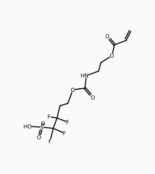 C=CC(=O)OCCNC(=O)OCCC(F)(F)C(F)(F)S(=O)(=O)O